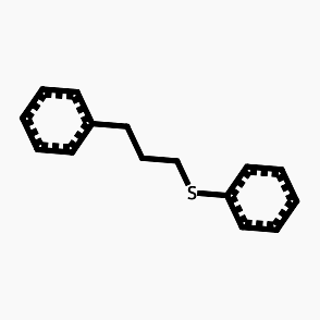 c1ccc(CCCSc2ccccc2)cc1